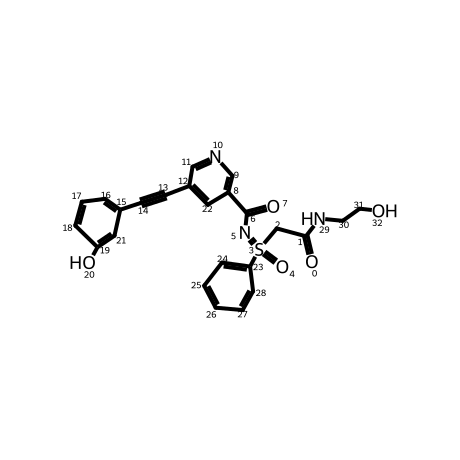 O=C(CS(=O)(=NC(=O)c1cncc(C#Cc2cccc(O)c2)c1)c1ccccc1)NCCO